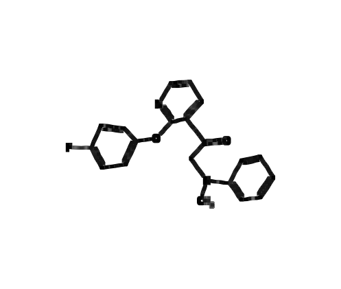 CN(CC(=O)c1cccnc1Oc1ccc(F)cc1)c1ccccc1